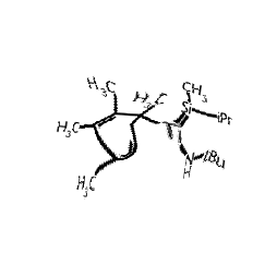 CC1=C[C](C)([Ti]([NH]C(C)(C)C)=[Si](C)C(C)C)C(C)=C1C